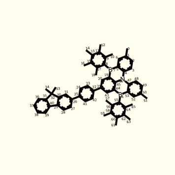 Cc1ccc2c(c1)B(c1c(C)c(C)c(C)c(C)c1C)c1cc(-c3ccc(-c4ccc5c(c4)C(C)(C)c4ccccc4-5)cc3)cc3c1N2c1ccc(C)cc1B3c1c(C)c(C)c(C)c(C)c1C